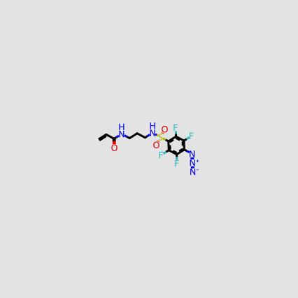 C=CC(=O)NCCCNS(=O)(=O)c1c(F)c(F)c(N=[N+]=[N-])c(F)c1F